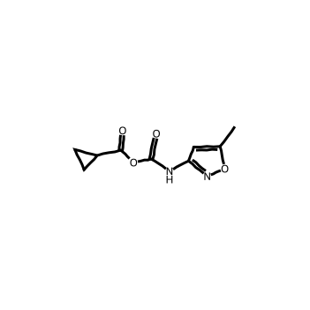 Cc1cc(NC(=O)OC(=O)C2CC2)no1